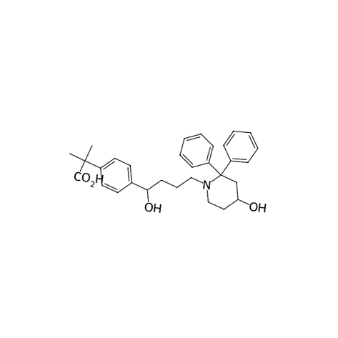 CC(C)(C(=O)O)c1ccc(C(O)CCCN2CCC(O)CC2(c2ccccc2)c2ccccc2)cc1